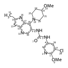 COc1ncc(NC(=O)Nc2cnc3sc(C)nc3c2N2CCC(OC)CC2)cc1Cl